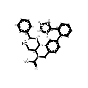 CCCCC(=O)N(Cc1ccc(-c2ccccc2-c2nnn[nH]2)cc1)C(CO)COCc1ccccc1